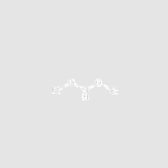 CCO[SiH]OCC